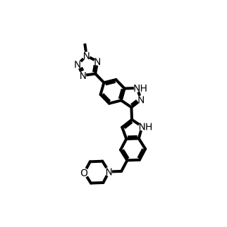 Cn1nnc(-c2ccc3c(-c4cc5cc(CN6CCOCC6)ccc5[nH]4)n[nH]c3c2)n1